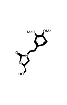 COc1ccc(CCN2C[C@@H](CO)OC2=O)cc1OC